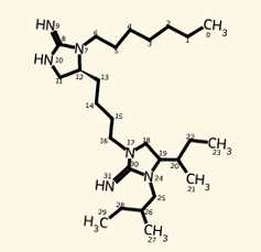 CCCCCCCN1C(=N)NC[C@@H]1CCCCN1CC(C(C)CC)N(CC(C)CC)C1=N